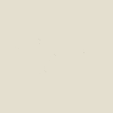 C=Cc1ccncc1C(Cc1cnccc1CC)OC(=O)NCCCCCC(=O)OC